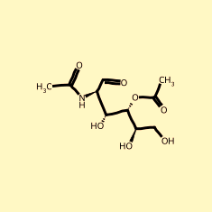 CC(=O)N[C@@H](C=O)[C@@H](O)[C@H](OC(C)=O)[C@H](O)CO